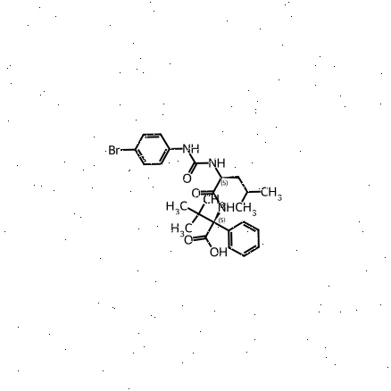 CC(C)C[C@H](NC(=O)Nc1ccc(Br)cc1)C(=O)N[C@](C(=O)O)(c1ccccc1)C(C)(C)C